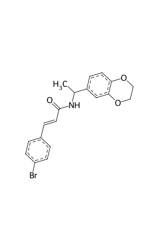 CC(NC(=O)C=Cc1ccc(Br)cc1)c1ccc2c(c1)OCCO2